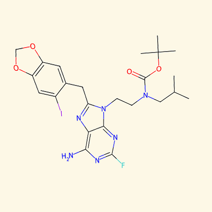 CC(C)CN(CCn1c(Cc2cc3c(cc2I)OCO3)nc2c(N)nc(F)nc21)C(=O)OC(C)(C)C